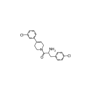 NC(Cc1ccc(Cl)cc1)C(=O)N1CC=C(c2cccc(Cl)c2)CC1